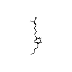 CCCCc1nnc(SCCC=C(F)F)o1